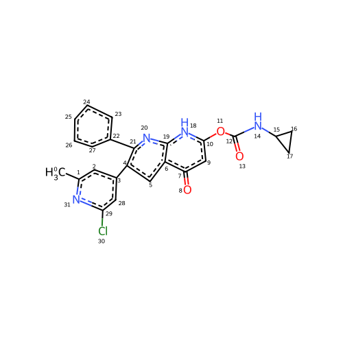 Cc1cc(-c2cc3c(=O)cc(OC(=O)NC4CC4)[nH]c3nc2-c2ccccc2)cc(Cl)n1